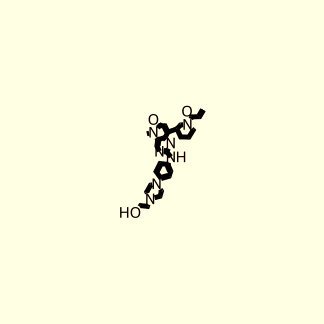 C=CC(=O)N1CCCC(c2cc(=O)n(C)c3cnc(Nc4ccc(N5CCN(CCO)CC5)cc4)nc23)C1